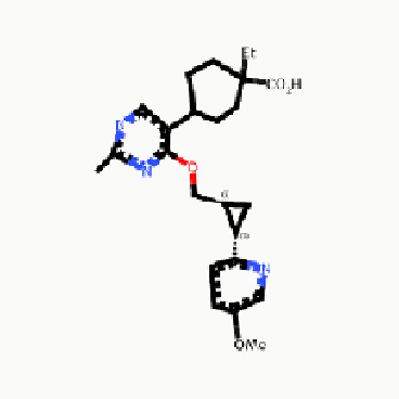 CCC1(C(=O)O)CCC(c2cnc(C)nc2OC[C@H]2C[C@@H]2c2ccc(OC)cn2)CC1